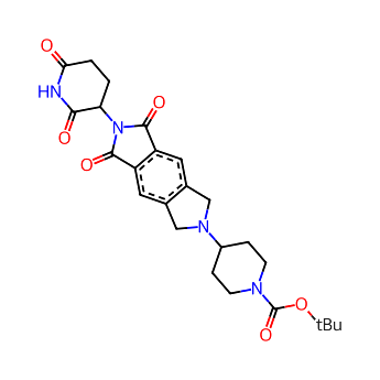 CC(C)(C)OC(=O)N1CCC(N2Cc3cc4c(cc3C2)C(=O)N(C2CCC(=O)NC2=O)C4=O)CC1